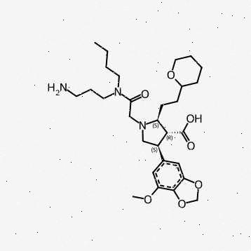 CCCCN(CCCN)C(=O)CN1C[C@H](c2cc(OC)c3c(c2)OCO3)[C@@H](C(=O)O)[C@@H]1CCC1CCCCO1